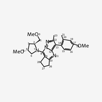 COC[C@@H]1C[C@@H](OC)CN1c1c2c(nc3c(-c4ccc(OC)cc4C)c(C)nn13)CCC2